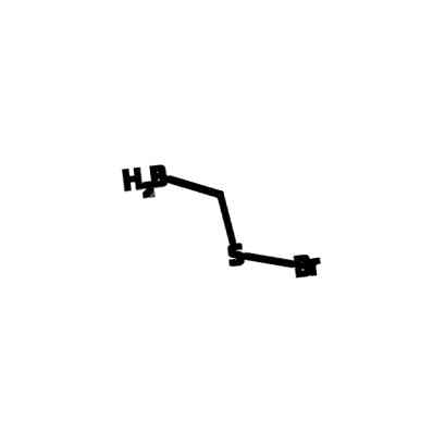 BCSBr